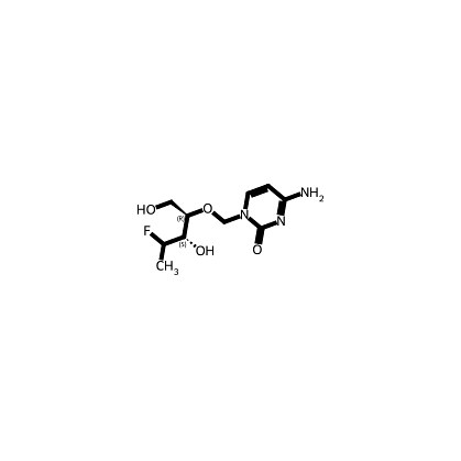 CC(F)[C@@H](O)[C@@H](CO)OCn1ccc(N)nc1=O